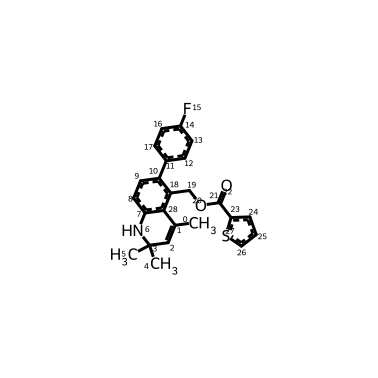 CC1=CC(C)(C)Nc2ccc(-c3ccc(F)cc3)c(COC(=O)c3cccs3)c21